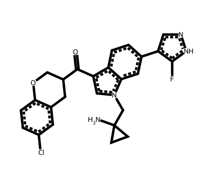 NC1(Cn2cc(C(=O)C3COc4ccc(Cl)cc4C3)c3ccc(-c4cn[nH]c4F)cc32)CC1